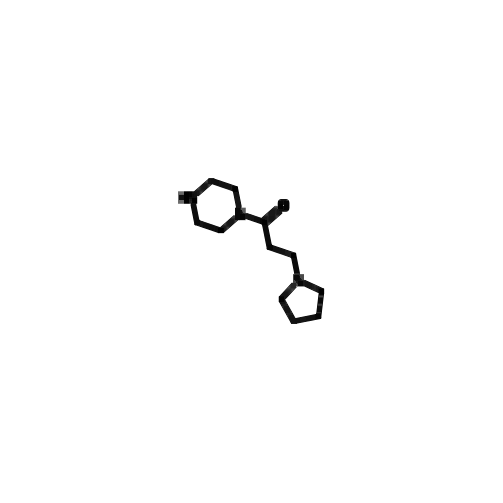 O=C(CCN1CCCC1)N1CCNCC1